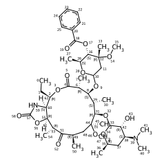 CC[C@H]1OC(=O)[C@H](C)[C@@H](OC2C[C@@](C)(OC)[C@@H](OC(=O)c3ccccc3)[C@H](C)O2)[C@H](C)[C@@H](OC2O[C@H](C)C[C@H](N(C)C)[C@H]2O)[C@@](C)(OC)C[C@@H](C)C(=O)[C@H](C)[C@H]2OC(=O)N[C@H]21